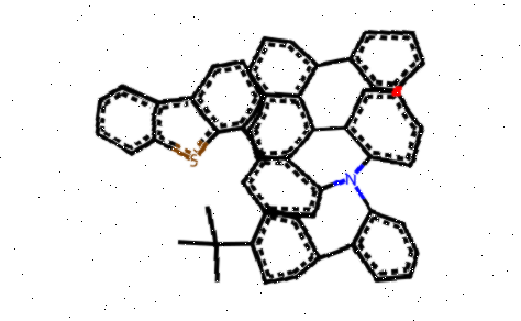 CC(C)(C)c1ccc(-c2ccccc2N(c2cccc(-c3cccc4c3sc3ccccc34)c2)c2ccccc2-c2cccc3cccc(-c4ccccc4)c23)cc1